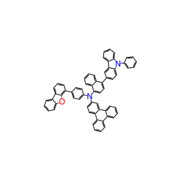 c1ccc(-n2c3ccccc3c3cc(-c4ccc(N(c5ccc(-c6cccc7c6oc6ccccc67)cc5)c5ccc6c7ccccc7c7ccccc7c6c5)c5ccccc45)ccc32)cc1